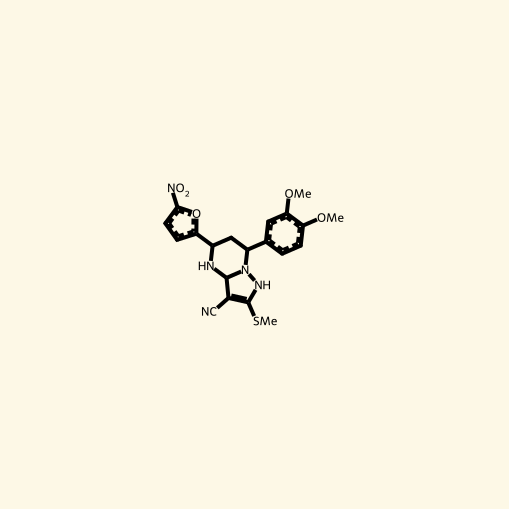 COc1ccc(C2CC(c3ccc([N+](=O)[O-])o3)NC3C(C#N)=C(SC)NN32)cc1OC